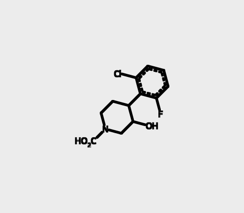 O=C(O)N1CCC(c2c(F)cccc2Cl)C(O)C1